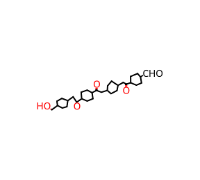 O=CC1CCC(C(=O)CC2CCC(CC(=O)C3CCC(C(=O)CC4CCC(CO)CC4)CC3)CC2)CC1